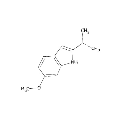 COc1ccc2cc(C(C)C)[nH]c2c1